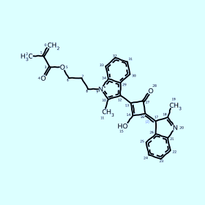 C=C(C)C(=O)OCCCn1c(C)c(C2=C(O)/C(=C3/C(C)=Nc4ccccc43)C2=O)c2ccccc21